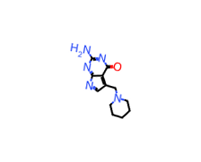 NC1=NC(=O)C2=C(CN3CCCCC3)C=NC2=N1